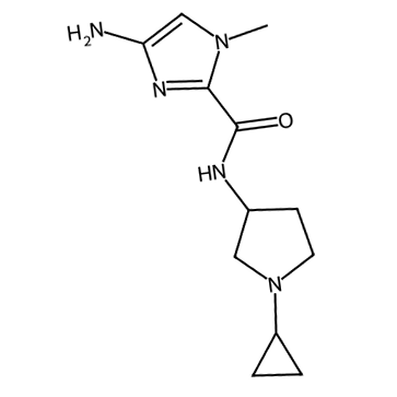 Cn1cc(N)nc1C(=O)NC1CCN(C2CC2)C1